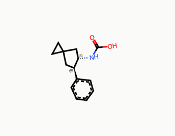 O=C(O)N[C@H]1CC2(CC2)C[C@@H]1c1ccccc1